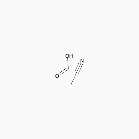 CC#N.O=CO